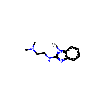 CN(C)CCNc1nc2ccccc2n1[N+](=O)[O-]